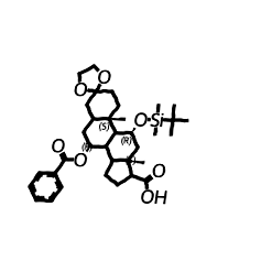 CC(C)(C)[Si](C)(C)O[C@@H]1C[C@]2(C)C(C(=O)O)CCC2C2C1[C@@]1(C)CCC3(CC1C[C@H]2OC(=O)c1ccccc1)OCCO3